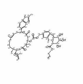 C=CCOC(=O)[C@H]1O[C@@H](Oc2ccc(COC(=O)O[C@H]3CC(=O)O[C@H](c4ccc5sc(C)nc5c4)C/C=C(/C)CCC[C@H](C)[C@H](O)[C@@H](CC=C)C(=O)C3(C)C)cc2F)[C@H](O)[C@@H](O)[C@@H]1O